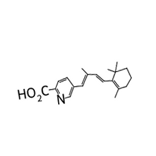 CC(C=CC1=C(C)CCCC1(C)C)=Cc1ccc(C(=O)O)nc1